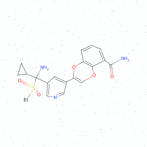 CCS(=O)(=O)C(N)(c1cncc(C2=COc3c(cccc3C(N)=O)O2)c1)C1CC1